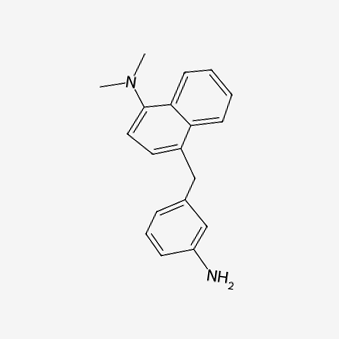 CN(C)c1ccc(Cc2cccc(N)c2)c2ccccc12